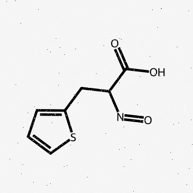 O=NC(Cc1cccs1)C(=O)O